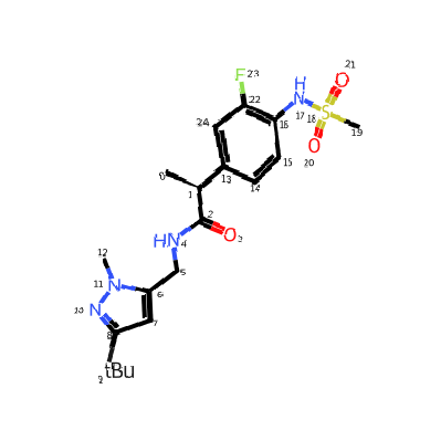 C[C@H](C(=O)NCc1cc(C(C)(C)C)nn1C)c1ccc(NS(C)(=O)=O)c(F)c1